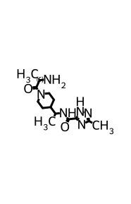 Cc1n[nH]c(C(=O)NC(C)C2CCN(C(=O)[C@H](C)N)CC2)n1